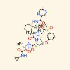 C=S(=O)(NC)c1cccc(O[C@@H]2C[C@@H](C(=O)N[C@@H](CCC)C(=O)C(=O)NC3CC3)N(C(=O)[C@H](C)NC(=O)[C@@H](NC(=O)c3cnccn3)C3CCCCC3)C2)c1